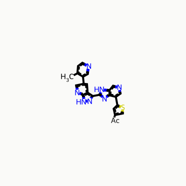 CC(=O)c1csc(-c2cncc3[nH]c(-c4n[nH]c5ncc(-c6cnccc6C)cc45)nc23)c1